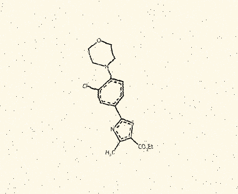 CCOC(=O)c1sc(-c2ccc(N3CCOCC3)c(Cl)c2)nc1C